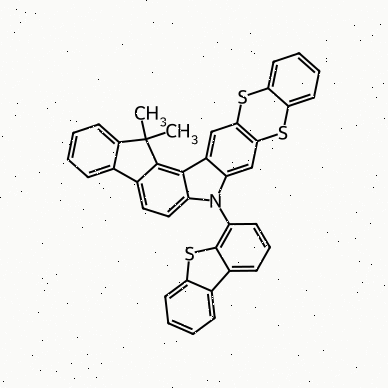 CC1(C)c2ccccc2-c2ccc3c(c21)c1cc2c(cc1n3-c1cccc3c1sc1ccccc13)Sc1ccccc1S2